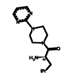 CC(C)C[C@H](N)C(=O)N1CCN(c2ncccn2)CC1